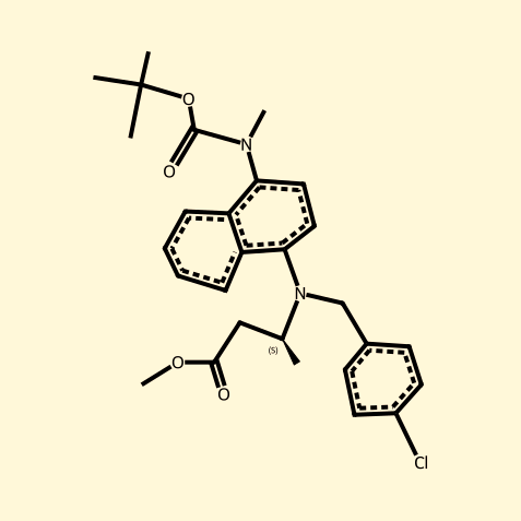 COC(=O)C[C@H](C)N(Cc1ccc(Cl)cc1)c1ccc(N(C)C(=O)OC(C)(C)C)c2ccccc12